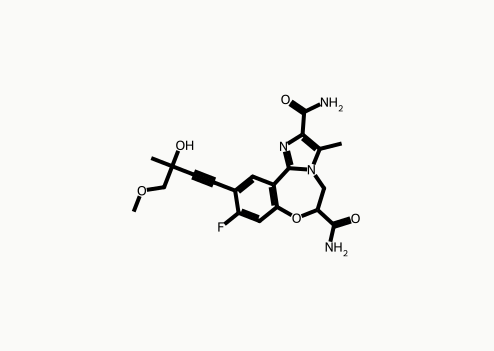 COCC(C)(O)C#Cc1cc2c(cc1F)OC(C(N)=O)Cn1c-2nc(C(N)=O)c1C